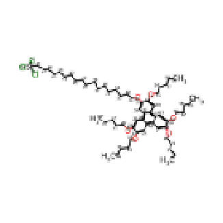 CCCCCOc1cc2c3cc(OCCCCC)c(OCCCCC)cc3c3cc(OCCCCCCCCCCCCCCCCCC[Si](Cl)(Cl)Cl)c(OCCCCC)cc3c2cc1OCCCCC